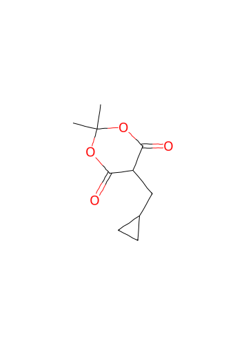 CC1(C)OC(=O)C(CC2CC2)C(=O)O1